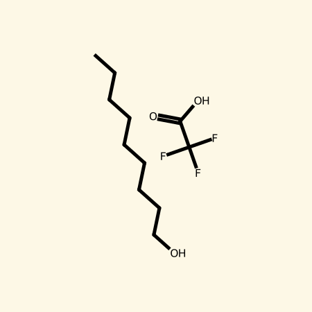 CCCCCCCCCO.O=C(O)C(F)(F)F